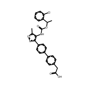 Cc1onc(-c2ccc(-c3ccc(CC(=O)O)cc3)cc2)c1NC(=O)OC(C)c1ccccc1Cl